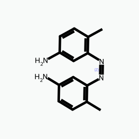 Cc1ccc(N)cc1/N=N\c1cc(N)ccc1C